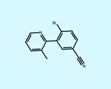 Cc1cccnc1-c1cc(C#N)ccc1Br